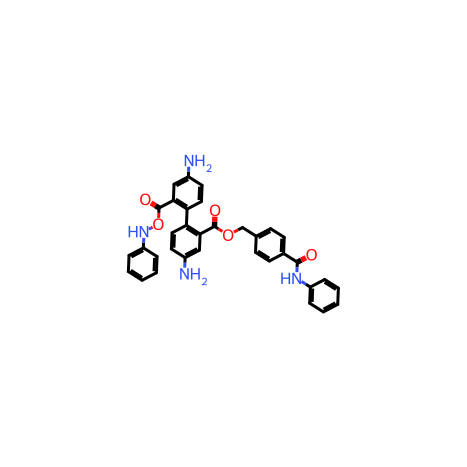 Nc1ccc(-c2ccc(N)cc2C(=O)ONc2ccccc2)c(C(=O)OCc2ccc(C(=O)Nc3ccccc3)cc2)c1